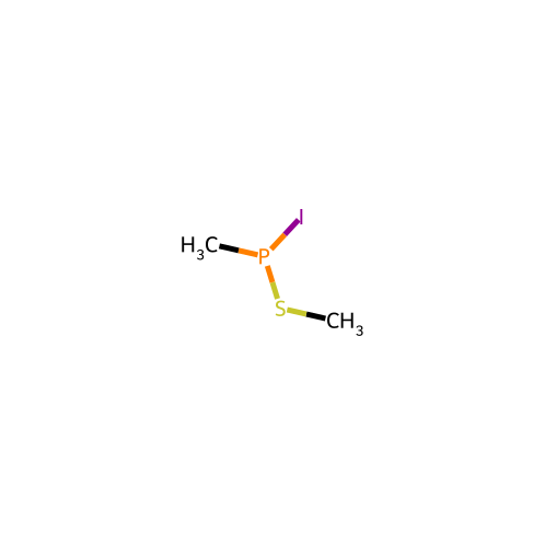 CSP(C)I